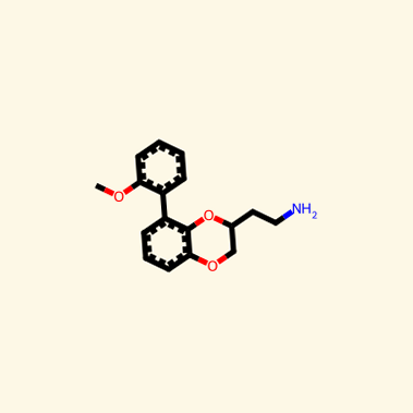 COc1ccccc1-c1cccc2c1OC(CCN)CO2